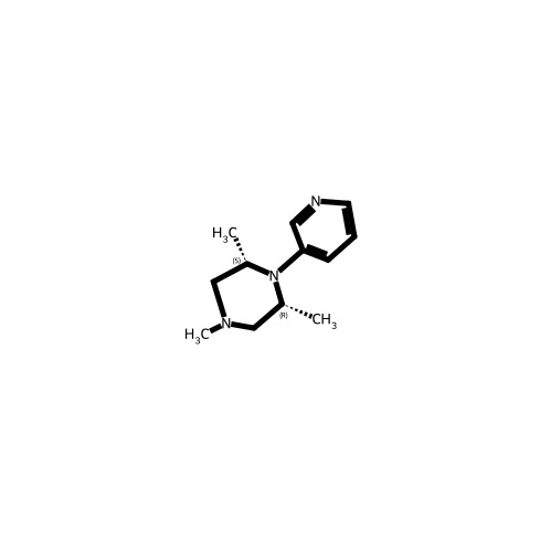 C[C@@H]1CN(C)C[C@H](C)N1c1cccnc1